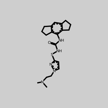 CN(C)CCn1ccc(SNC(=O)Nc2c3c(cc4c2CCC4)CCC3)n1